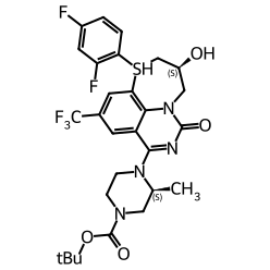 C[C@H]1CN(C(=O)OC(C)(C)C)CCN1c1nc(=O)n2c3c(cc(C(F)(F)F)cc13)[SH](c1ccc(F)cc1F)C[C@@H](O)C2